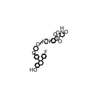 O=C1CCC(N2C(=O)c3ccc(N4CCN(CCOC5CCC(Oc6ccc(C7c8ccc(O)cc8CCC7c7ccc(F)cc7)cc6)CC5)CC4)cc3C2=O)C(=O)N1